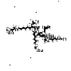 CCCCCCCOC(CCCCCCCOC([O])C(CC)CCCC)(OC(CCCCCOCC(C)(C)C)OC(C)(C)CC(OCCC(C)C)(OCC(C)C)OC(C)(CCCC)OCCCCOCCC)OC(C)(CC)CC